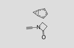 C#CN1CCC1=O.c1cc2cc-2c1